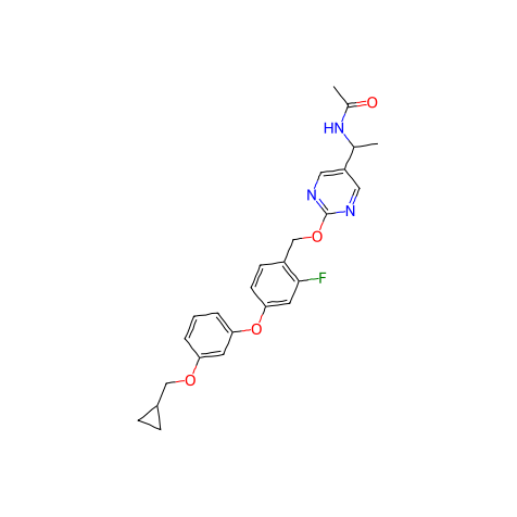 CC(=O)NC(C)c1cnc(OCc2ccc(Oc3cccc(OCC4CC4)c3)cc2F)nc1